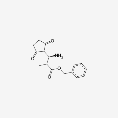 CC(C(=O)OCc1ccccc1)[C@H](N)C1C(=O)CCC1=O